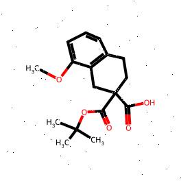 COc1cccc2c1CC(C(=O)O)(C(=O)OC(C)(C)C)CC2